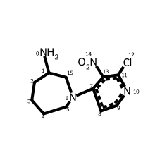 NC1CCCCN(c2ccnc(Cl)c2[N+](=O)[O-])C1